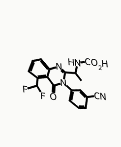 CC(NC(=O)O)c1nc2cccc(C(F)F)c2c(=O)n1-c1cccc(C#N)c1